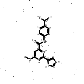 COc1cc(C(=O)Nc2ccc(C(F)F)nc2)nc(-c2cncs2)n1